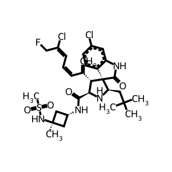 C=C(/C=C\C=C(\Cl)CF)[C@H]1[C@H](C(=O)N[C@H]2C[C@](C)(NS(C)(=O)=O)C2)N[C@H](CC(C)(C)C)[C@]12C(=O)Nc1cc(Cl)ccc12